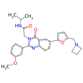 COc1cccc(-c2nc3ccc(-c4ccc(CN5CCC5)o4)cc3c(=O)n2CC(=O)NC(C)C)c1